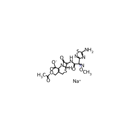 CO/N=C(\C(=O)N[C@@H]1C(=O)N2C(C(=O)[O-])=C(COC(C)=O)CS[C@@H]12)c1nsc(N)n1.[Na+]